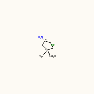 C[C@@]1(C(=O)O)CC[C@@H](N)C1.Cl